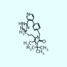 CCCc1c(C)n(C(C)(C)C)c(=O)n1Cc1ccc(-c2ccncc2-c2nnn[nH]2)cc1